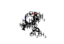 CCOc1cnc(O[C@@H]2C[C@H]3C(=O)N[C@]4(C(=O)NS(=O)(=O)C5CC5)C[C@H]4/C=C\CC[C@@H](C)C[C@@H](CC)[C@H](N(C(=O)O)C(C)(C)C(F)(F)F)C(=O)N3C2)c2ccc(OC)cc12